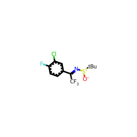 CC(C)(C)[S+]([O-])N=C(c1ccc(F)c(Cl)c1)C(F)(F)F